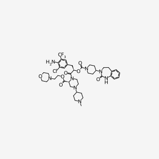 CN1CCC(N2CCN(C(=O)[C@@H](Cc3cc(Cl)c(N)c(C(F)(F)F)c3)OC(=O)N3CCC(N4CCc5ccccc5NC4=O)CC3)[C@H](C(=O)OCCN3CCOCC3)C2)CC1